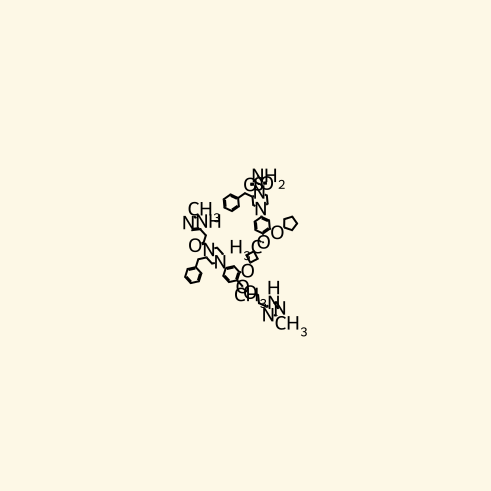 COc1ccc(N2CCN(C(=O)Cc3cnc(C)[nH]3)C(Cc3ccccc3)C2)cc1OC1CCC1.COc1ccc(N2CCN(S(N)(=O)=O)C(Cc3ccccc3)C2)cc1OC1CCCC1.Cc1n[nH]c(CC=O)n1